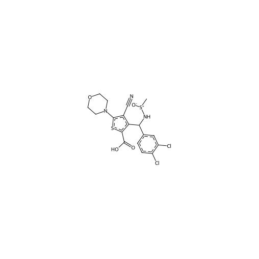 C[S+]([O-])NC(c1ccc(Cl)c(Cl)c1)c1c(C(=O)O)sc(N2CCOCC2)c1C#N